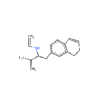 C=CNC(Cc1ccc2c(c1)CCC=C2)C(=C)C